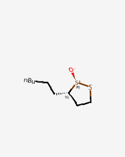 CCCCCC[C@H]1CCS[S@+]1[O-]